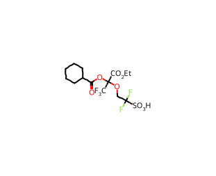 CCOC(=O)C(OCC(F)(F)S(=O)(=O)O)(OC(=O)C1CCCCC1)C(F)(F)F